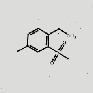 Cc1ccc(CN)c(S(C)(=O)=O)c1